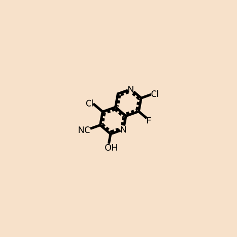 N#Cc1c(O)nc2c(F)c(Cl)ncc2c1Cl